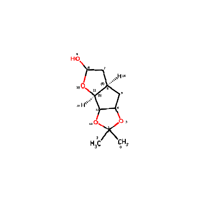 CC1(C)OC2C[C@@H]3CC(O)O[C@@H]3C2O1